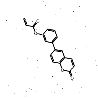 C=CC(=O)Oc1cccc(-c2ccc3oc(=O)ccc3c2)c1